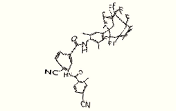 Cc1cc(C#N)ccc1C(=O)Nc1cc(C(=O)Nc2c(C)cc(C3(F)C(F)(F)C(F)(F)C(F)(F)C(F)(F)C3(F)F)cc2C)ccc1C#N